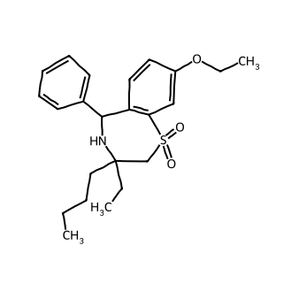 CCCCC1(CC)CS(=O)(=O)c2cc(OCC)ccc2C(c2ccccc2)N1